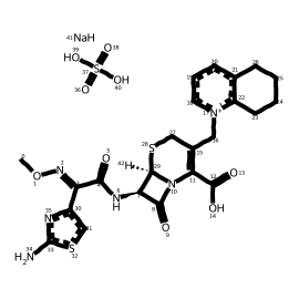 CO/N=C(/C(=O)N[C@@H]1C(=O)N2C(C(=O)O)=C(C[n+]3cccc4c3CCCC4)CS[C@H]12)c1csc(N)n1.O=S(=O)(O)O.[NaH]